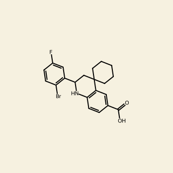 O=C(O)c1ccc2c(c1)C1(CCCCC1)CC(c1cc(F)ccc1Br)N2